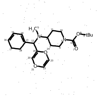 CN(C1CCN(C(=O)OC(C)(C)C)CC1)C(C1=CC=CCC1)C1=COC=CO1